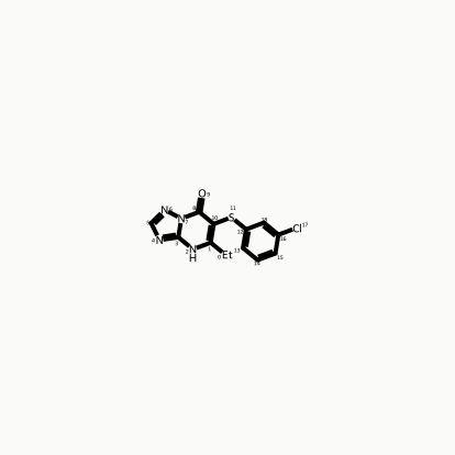 CCc1[nH]c2ncnn2c(=O)c1Sc1cccc(Cl)c1